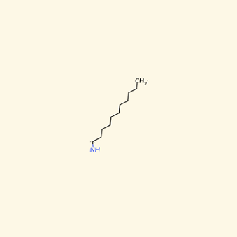 [CH2]CCCCCCCCC[C]=N